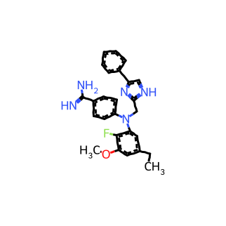 CCc1cc(OC)c(F)c(N(Cc2nc(-c3ccccc3)c[nH]2)c2ccc(C(=N)N)cc2)c1